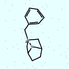 CC(C)N1C2CCC1CN(Cc1ccccc1)C2